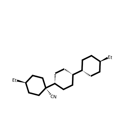 CC[C@H]1CC[C@H]([C@H]2CC[C@@H]([C@]3(C#N)CC[C@H](CC)CC3)CC2)CC1